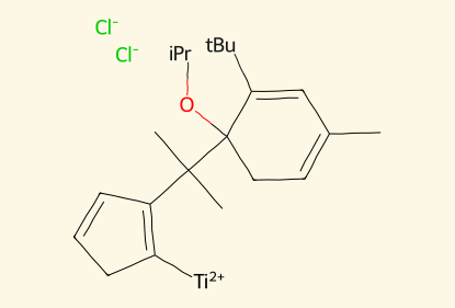 CC1=CCC(OC(C)C)(C(C)(C)C2=[C]([Ti+2])CC=C2)C(C(C)(C)C)=C1.[Cl-].[Cl-]